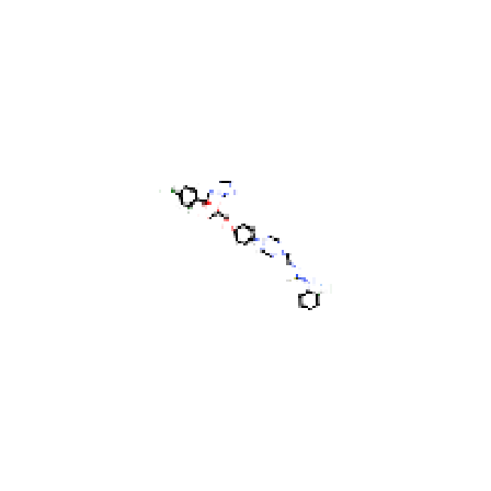 S=C(NCCN1CCN(c2ccc(OCC3COC(Cn4ccnc4)(c4ccc(Cl)cc4Cl)O3)cc2)CC1)Nc1ccccc1Cl